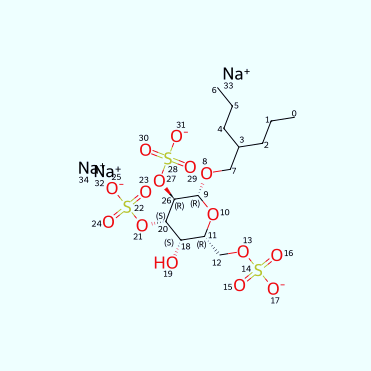 CCCC(CCC)CO[C@@H]1O[C@H](COS(=O)(=O)[O-])[C@H](O)[C@H](OS(=O)(=O)[O-])[C@H]1OS(=O)(=O)[O-].[Na+].[Na+].[Na+]